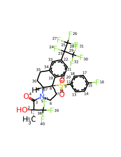 C[C@](O)(C(=O)N1CC[C@@]2(S(=O)(=O)c3ccc(F)cc3)c3ccc(C(F)(C(F)(F)F)C(F)(F)F)cc3CC[C@@H]12)C(F)(F)F